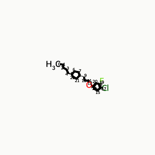 CCCCC[C@H]1CC[C@H](CCCOc2ccc(Cl)c(F)c2)CC1